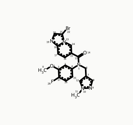 COc1cc(N(Cc2cnn(C)c2)C(=O)c2ccc3ncc(Br)n3c2)ccc1F